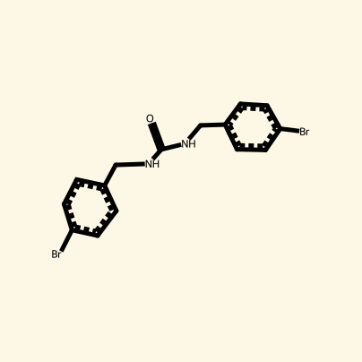 O=C(NCc1ccc(Br)cc1)NCc1ccc(Br)cc1